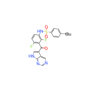 CC(C)(C)c1ccc(S(=O)(=O)Nc2ccc(F)c(C(=O)c3c[nH]c4ncncc34)c2F)cc1